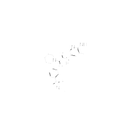 Cc1cc(NC(=O)C(=O)N2CCCC[C@H]2c2ccc(S(N)(=O)=O)cc2)cnc1N